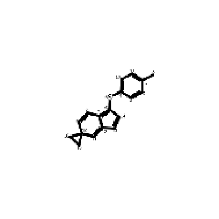 Cc1ccc(SC2=C3C=CC4(C=C3C=C2)CC4)cc1